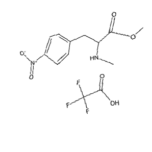 CNC(Cc1ccc([N+](=O)[O-])cc1)C(=O)OC.O=C(O)C(F)(F)F